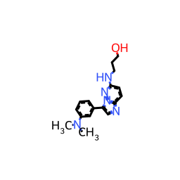 CN(C)c1cccc(-c2cnc3ccc(NCCCO)nn23)c1